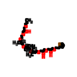 C=CCOCC(O)COCCOC(C)(CC)CCOC(C)(CC)C(C)(CC)COC(C)(C)CCOCC(O)COCC(O)COCCc1cccs1